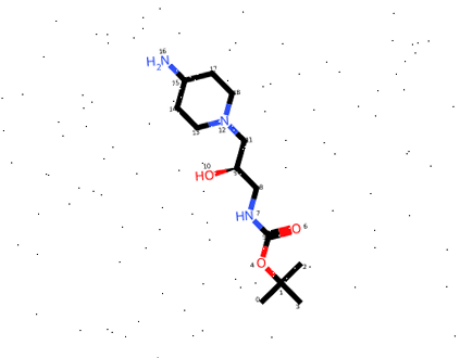 CC(C)(C)OC(=O)NC[C@@H](O)CN1CCC(N)CC1